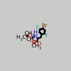 COC(=O)C(Cc1cc(F)c(Br)cc1F)NC(=O)OC(C)(C)C